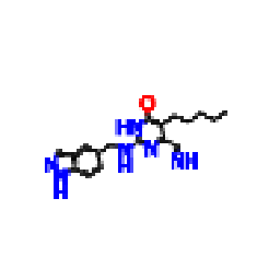 CCCCCc1c(C=N)nc(NCc2ccc3[nH]ncc3c2)[nH]c1=O